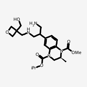 COC(=O)N1c2ccc(C(CN)CNCC3(CO)COC3)cc2N(C(=O)OC(C)C)C[C@@H]1C